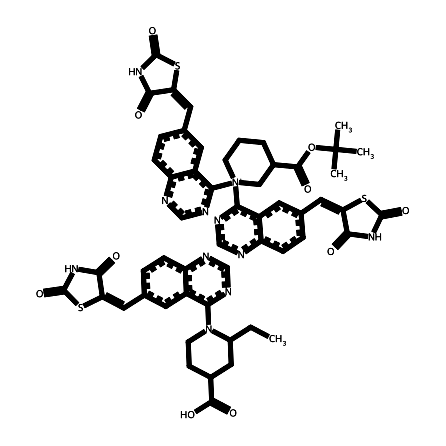 CC(C)(C)OC(=O)C1CCC[N+](c2ncnc3ccc(C=C4SC(=O)NC4=O)cc23)(c2ncnc3ccc(C=C4SC(=O)NC4=O)cc23)C1.CCC1CC(C(=O)O)CCN1c1ncnc2ccc(C=C3SC(=O)NC3=O)cc12